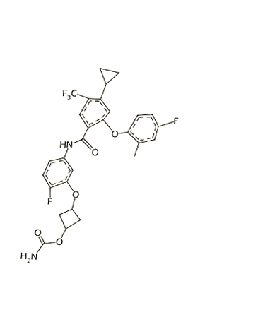 Cc1cc(F)ccc1Oc1cc(C2CC2)c(C(F)(F)F)cc1C(=O)Nc1ccc(F)c(OC2CC(OC(N)=O)C2)c1